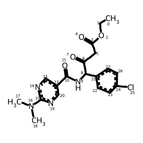 CCOC(=O)CC(=O)C(NC(=O)c1cnc(N(C)C)nc1)c1ccc(Cl)cc1